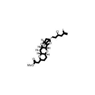 C=C(I)C[C@H](Cl)CC[C@@]12C[C@H]3O[C@H]4[C@@H](O1)[C@H]1OC(CC(=O)OC)CC[C@@H]1O[C@H]4[C@H]3O2